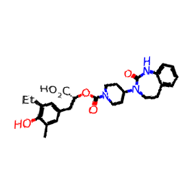 CCc1cc(C[C@@H](OC(=O)N2CCC(N3CCc4ccccc4NC3=O)CC2)C(=O)O)cc(C)c1O